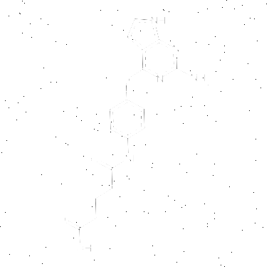 Nc1nc(Oc2ccc(NC(=O)CCCC(=O)O)cc2)c2cc[nH]c2n1